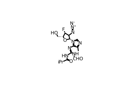 Cc1ncn([C@@H]2O[C@H](CO)[C@@H](F)C2N=[N+]=[N-])c1/N=C(\NC=O)NC(=O)C(C)C